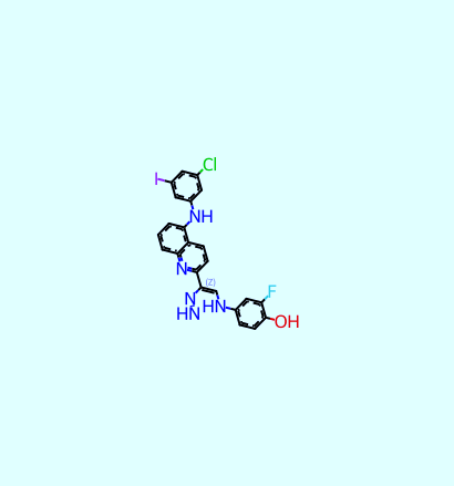 N=N/C(=C\Nc1ccc(O)c(F)c1)c1ccc2c(Nc3cc(Cl)cc(I)c3)cccc2n1